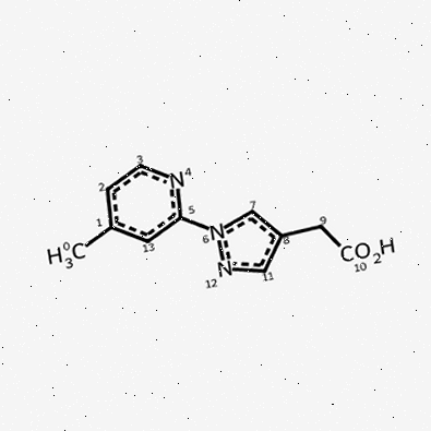 Cc1ccnc(-n2cc(CC(=O)O)cn2)c1